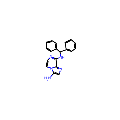 Nc1cnc2c(NC(c3ccccc3)c3ccccc3)nccn12